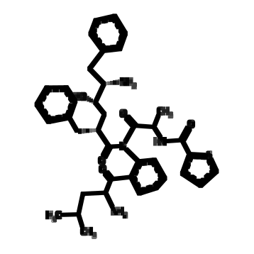 CC(C)CC(N)C(=O)c1ccccc1N(C(=O)C(C)NC(=O)c1cccs1)C(=O)[C@H](Cc1ccccc1)C[C@H](O)[C@@H](N)Cc1ccccc1